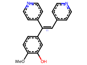 COc1ccc(/C(=C/c2ccncc2)c2ccncc2)cc1O